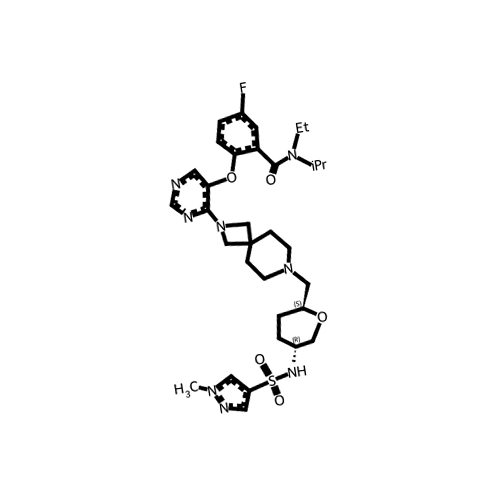 CCN(C(=O)c1cc(F)ccc1Oc1cncnc1N1CC2(CCN(C[C@@H]3CC[C@@H](NS(=O)(=O)c4cnn(C)c4)CO3)CC2)C1)C(C)C